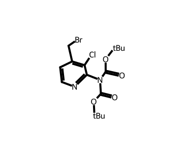 CC(C)(C)OC(=O)N(C(=O)OC(C)(C)C)c1nccc(CBr)c1Cl